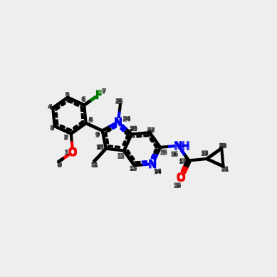 COc1cccc(F)c1-c1c(C)c2cnc(NC(=O)C3CC3)cc2n1C